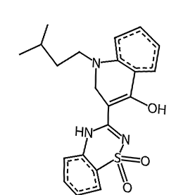 CC(C)CCN1CC(C2=NS(=O)(=O)c3ccccc3N2)=C(O)c2ccccc21